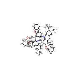 Cc1cc2c(cc1N1c3cc4c(cc3B3c5c1cc1c(oc6ccccc61)c5-c1cc5oc6ccccc6c5cc1N3c1ccc(C(C)(C)C)cc1-c1ccccc1)Oc1ccccc1C4(C)C)C(C)(C)CCC2(C)C